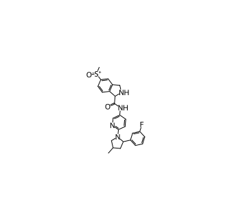 CC1CC(c2cccc(F)c2)N(c2ccc(NC(=O)C3NCc4cc([S+](C)[O-])ccc43)cn2)C1